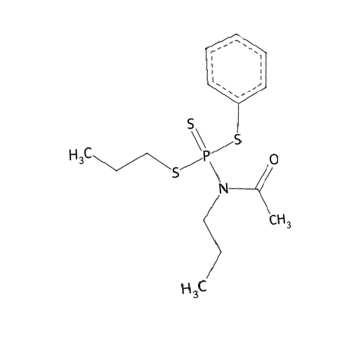 CCCSP(=S)(Sc1ccccc1)N(CCC)C(C)=O